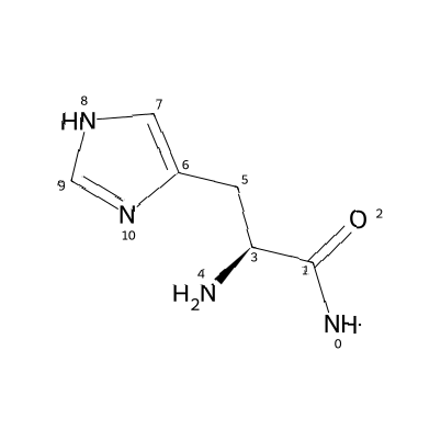 [NH]C(=O)[C@@H](N)Cc1c[nH]cn1